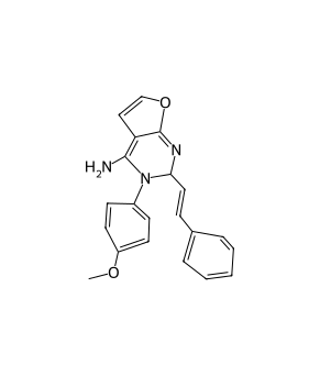 COc1ccc(N2C(N)=c3ccoc3=NC2C=Cc2ccccc2)cc1